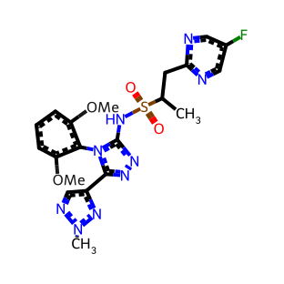 COc1cccc(OC)c1-n1c(NS(=O)(=O)C(C)Cc2ncc(F)cn2)nnc1-c1cnn(C)n1